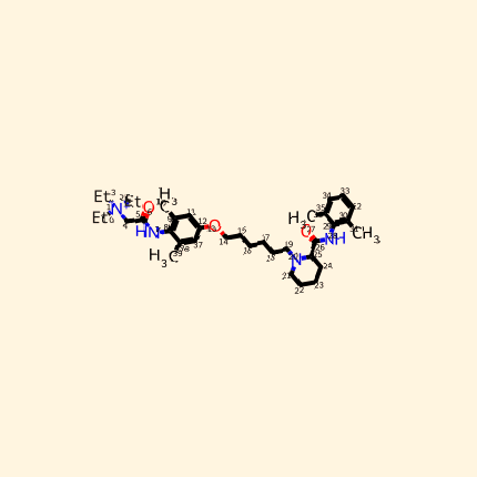 CC[N+](CC)(CC)CC(=O)Nc1c(C)cc(OCCCCCCN2CCCCC2C(=O)Nc2c(C)cccc2C)cc1C